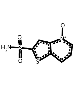 NS(=O)(=O)c1cc2c(ccc[n+]2[O-])s1